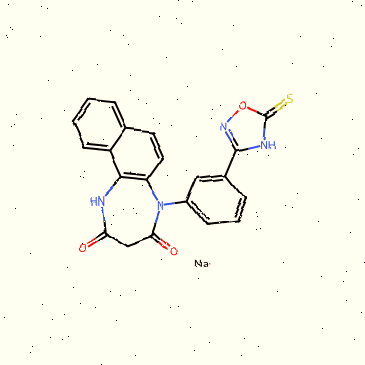 O=C1CC(=O)N(c2cccc(-c3noc(=S)[nH]3)c2)c2ccc3ccccc3c2N1.[Na]